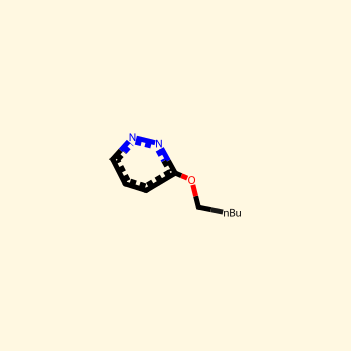 CCCCCOc1cc[c]nn1